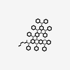 C=C/C=C\C=C(/C)N(c1ccccc1)c1cc2c3c(c1)N(c1ccccc1)c1cc4c(cc1B3c1cc3c(cc1N2c1ccccc1)N(c1ccccc1)c1ccccc1O3)B1c2ccccc2N(c2ccccc2)c2cc(N(c3ccccc3)c3ccccc3)cc(c21)N4c1ccccc1